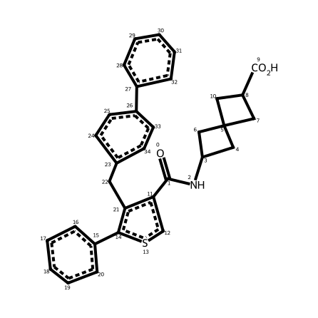 O=C(NC1CC2(C1)CC(C(=O)O)C2)c1csc(-c2ccccc2)c1Cc1ccc(-c2ccccc2)cc1